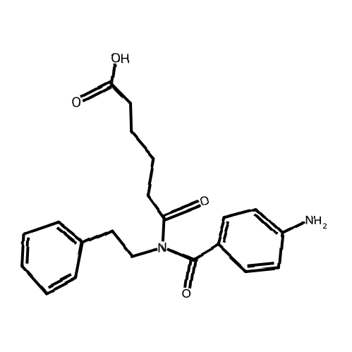 Nc1ccc(C(=O)N(CCc2ccccc2)C(=O)CCCCC(=O)O)cc1